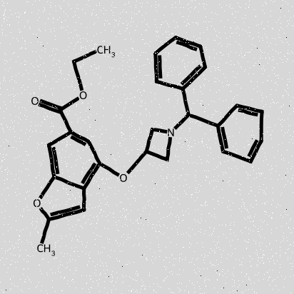 CCOC(=O)c1cc(OC2CN(C(c3ccccc3)c3ccccc3)C2)c2cc(C)oc2c1